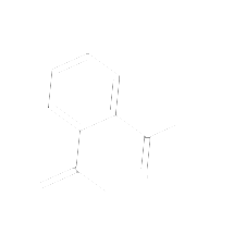 C=C(C)c1ccccc1C(=O)C(Cl)(Cl)Cl